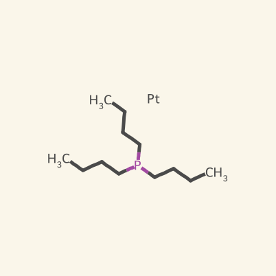 CCCCP(CCCC)CCCC.[Pt]